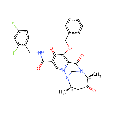 C[C@@H]1CC(=O)[C@H](C)N2CN1n1cc(C(=O)NCc3ccc(F)cc3F)c(=O)c(OCc3ccccc3)c1C2=O